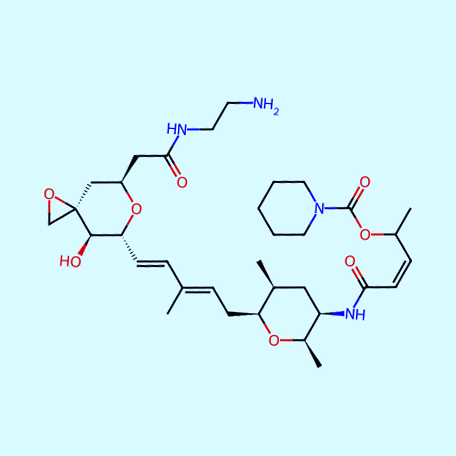 CC(/C=C/[C@H]1O[C@H](CC(=O)NCCN)C[C@@]2(CO2)[C@@H]1O)=C\C[C@@H]1O[C@H](C)[C@H](NC(=O)/C=C\C(C)OC(=O)N2CCCCC2)C[C@@H]1C